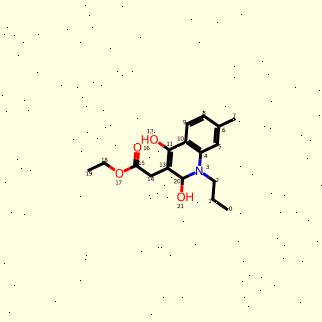 CCCN1c2cc(C)ccc2C(O)=C(CC(=O)OCC)C1O